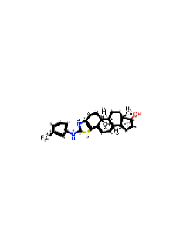 C[C@]12CC[C@H]3[C@@H](CC=C4c5sc(Nc6cccc(C(F)(F)F)c6)nc5CC[C@@]43C)[C@@H]1CC[C@@H]2O